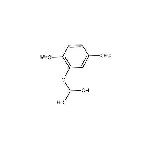 COc1ccc(C=O)cc1OC(C)O